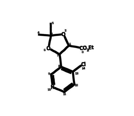 CCOC(=O)C1OC(C)(C)OC1c1cnccc1Cl